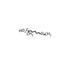 C=COCCCCCCC(=C)C(=O)O